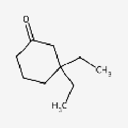 CCC1(CC)CCCC(=O)C1